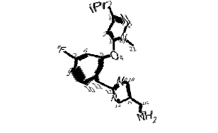 CC(C)c1cc(Oc2cc(F)ccc2-c2ncc(CN)cn2)n(C)n1